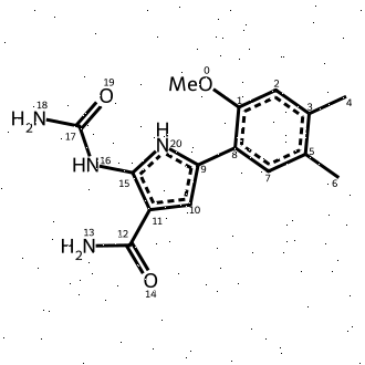 COc1cc(C)c(C)cc1-c1cc(C(N)=O)c(NC(N)=O)[nH]1